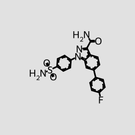 NC(=O)c1nn(-c2ccc(S(N)(=O)=O)cc2)c2cc(-c3ccc(F)cc3)ccc12